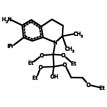 CCOCCOC(O)(OCC)C(OCC)(OCC)N1c2cc(C(C)C)c(N)cc2CCC1(C)C